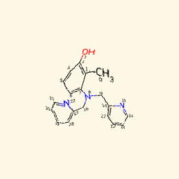 Cc1c(O)cccc1N(Cc1ccccn1)Cc1ccccn1